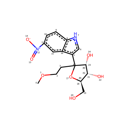 COCCC1(c2c[nH]c3ccc([N+](=O)[O-])cc23)O[C@H](CO)[C@@H](O)[C@H]1O